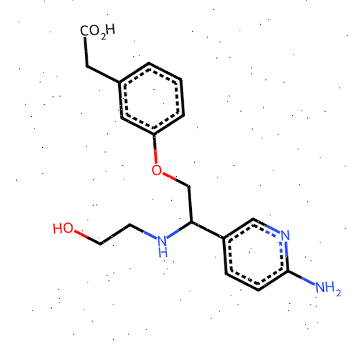 Nc1ccc(C(COc2cccc(CC(=O)O)c2)NCCO)cn1